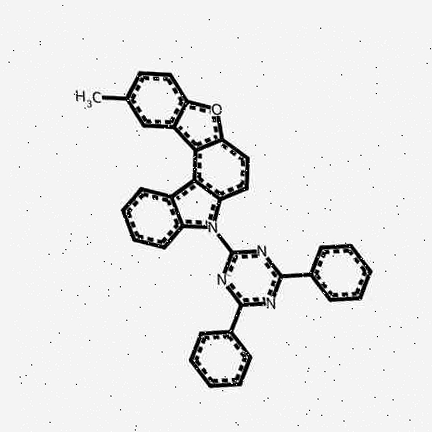 Cc1ccc2oc3ccc4c(c5ccccc5n4-c4nc(-c5ccccc5)nc(-c5ccccc5)n4)c3c2c1